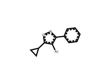 CC(=O)c1c(-c2ccccc2)noc1C1CC1